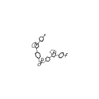 O=S(=O)(Cc1ccc(-c2cc(-c3ccc(F)cc3)n3c2CCC3)cc1)Cc1ccc(-c2cc(-c3ccc(F)cc3)n3c2CCC3)cc1